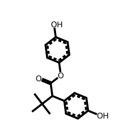 CC(C)(C)C(C(=O)Oc1ccc(O)cc1)c1ccc(O)cc1